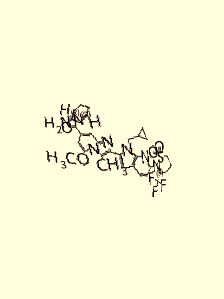 COc1cc(C(=O)N2[C@H]3CC[C@@H]2[C@H](N)C3)cc2nc(-c3cc4ccc(N5[C@@H](C(F)(F)F)CCCS5(=O)=O)nc4n3CC3CC3)c(C)n12